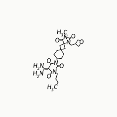 CCCCN1C(=O)C(=C(N)N)C(=O)N(C2CCC3(CC2)CC2(C3)C(=O)N(C)C(=O)N2CC2COC2)C1=O